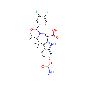 CNC(=O)Oc1ccc2c3c([nH]c2c1)C(C(=O)O)=CN(C(=O)c1ccc(F)c(F)c1)C(C(C)C)C3(C)C